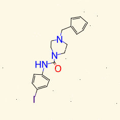 O=C(Nc1ccc(I)cc1)N1CCN(Cc2ccccc2)CC1